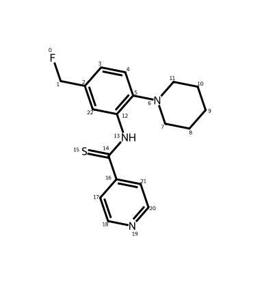 FCc1ccc(N2CCCCC2)c(NC(=S)c2ccncc2)c1